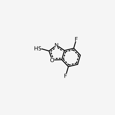 Fc1ccc(F)c2oc(S)nc12